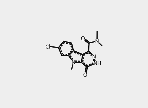 CN(C)C(=O)c1n[nH]c(=O)c2c1c1ccc(Cl)cc1n2C